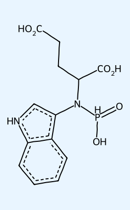 O=C(O)CCC(C(=O)O)N(c1c[nH]c2ccccc12)[PH](=O)O